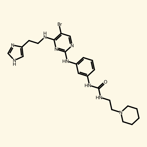 O=C(NCCN1CCCCC1)Nc1cccc(Nc2ncc(Br)c(NCCc3c[nH]cn3)n2)c1